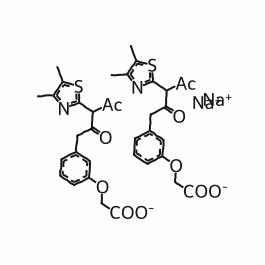 CC(=O)C(C(=O)Cc1cccc(OCC(=O)[O-])c1)c1nc(C)c(C)s1.CC(=O)C(C(=O)Cc1cccc(OCC(=O)[O-])c1)c1nc(C)c(C)s1.[Na+].[Na+]